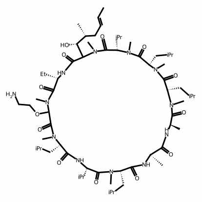 C/C=C/C[C@@H](C)[C@@H](O)C1C(=O)N[C@@H](CC)C(=O)N(C)C(OCCN)C(=O)N(C)[C@@H](CC(C)C)C(=O)N[C@@H](C(C)C)C(=O)N(C)[C@@H](CC(C)C)C(=O)N[C@@H](C)C(=O)N[C@H](C)C(=O)N(C)[C@@H](CC(C)C)C(=O)N(C)[C@@H](CC(C)C)C(=O)N(C)[C@@H](C(C)C)C(=O)N1C